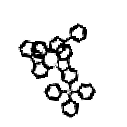 c1ccc(-c2ccc(-n3c4ccccc4c4cccc(-n5c6cc([Si](c7ccccc7)(c7ccccc7)c7ccccc7)ccc6c6cccc(-c7ccccc7)c65)c43)cc2)cc1